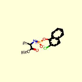 COC(=O)C(/N=[P+](\[O-])Oc1c(Cl)ccc2ccccc12)C(C)C